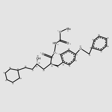 CC(C)(C)OC(=O)NOC(=O)[C@@H](Cc1ccc(OCc2ccccc2)cc1)C[C@@H](O)CCC1CCCCC1